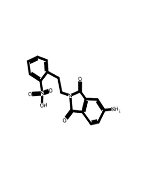 Nc1ccc2c(c1)C(=O)N(CCc1ccccc1S(=O)(=O)O)C2=O